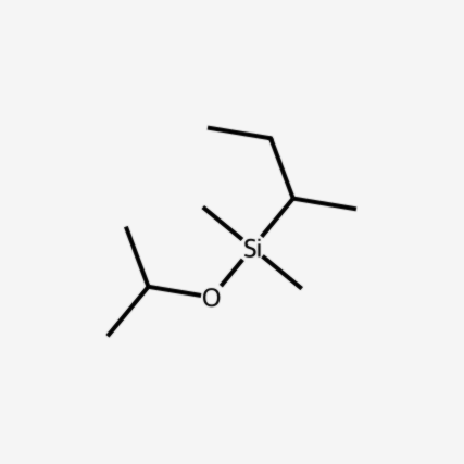 CCC(C)[Si](C)(C)OC(C)C